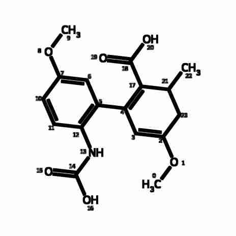 COC1=CC(c2cc(OC)ccc2NC(=O)O)=C(C(=O)O)C(C)C1